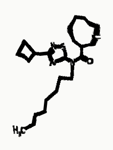 CCCCCCCCN(C(=O)C1CCCCCCC1)c1nc(C2CCC2)ns1